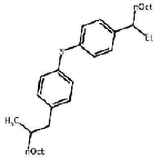 CCCCCCCCC(C)Cc1ccc(Sc2ccc(C(CC)CCCCCCCC)cc2)cc1